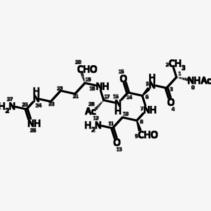 CC(=O)N[C@@H](C)C(=O)N[C@@H](N[C@@H](C=O)CC(N)=O)C(=O)N[C@@H](N[C@@H](C=O)CCCNC(=N)N)C(C)=O